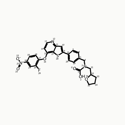 O=C(O)N(Cc1ccc(-c2cc3nccc(Oc4ccc([N+](=O)[O-])cc4F)c3s2)cc1)CC1CCCO1